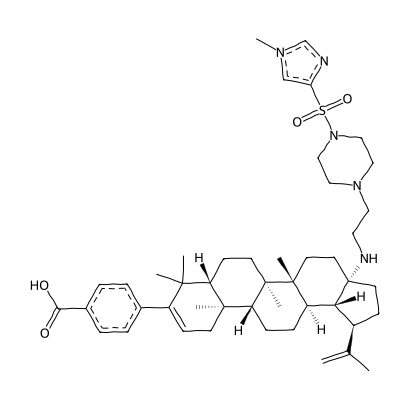 C=C(C)[C@@H]1CC[C@]2(NCCN3CCN(S(=O)(=O)c4cn(C)cn4)CC3)CC[C@]3(C)[C@H](CC[C@@H]4[C@@]5(C)CC=C(c6ccc(C(=O)O)cc6)C(C)(C)[C@@H]5CC[C@]43C)[C@@H]12